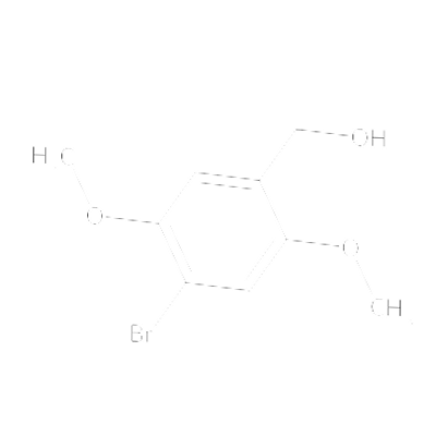 COc1cc(CO)c(OC)cc1Br